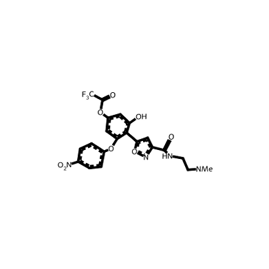 CNCCNC(=O)c1cc(-c2c(O)cc(OC(=O)C(F)(F)F)cc2Oc2ccc([N+](=O)[O-])cc2)on1